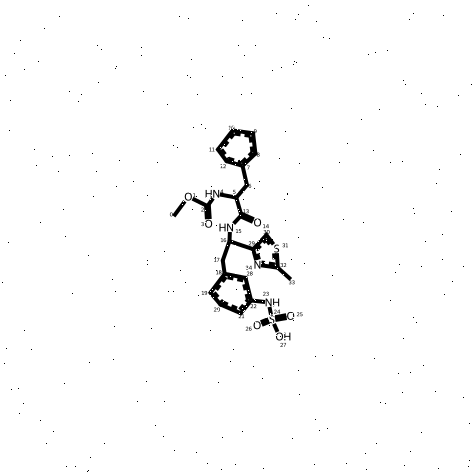 COC(=O)NC(Cc1ccccc1)C(=O)NC(Cc1cccc(NS(=O)(=O)O)c1)c1csc(C)n1